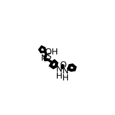 O=C(Nc1ccccc1)Nc1ccc(-c2cnc(C3(O)CCCC3)s2)cc1